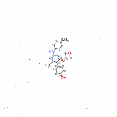 Cc1nc(NC2CCC(C)CC2)nc(OC2COC2)c1-c1ccc(O)cc1